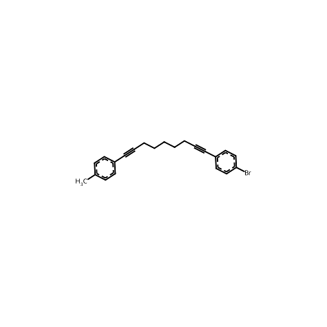 Cc1ccc(C#CCCCCCC#Cc2ccc(Br)cc2)cc1